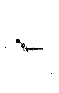 CCCCCCCCCCCCC(CC)C(=O)Oc1ccc(OCc2ccccc2)cc1